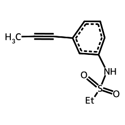 CC#Cc1cccc(NS(=O)(=O)CC)c1